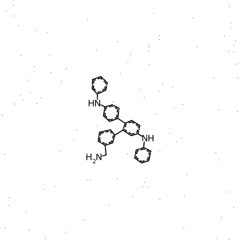 NCc1cccc(-c2cc(Nc3ccccc3)ccc2-c2ccc(Nc3ccccc3)cc2)c1